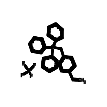 C=Cc1ccc(C[P+](c2ccccc2)(c2ccccc2)c2ccccc2)cc1.F[B-](F)(F)F